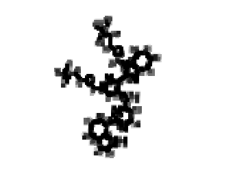 C[Si](C)(C)CCOCn1cc(Nc2ccnc(-c3cccc4cc[nH]c34)n2)c(-c2nc3ccccc3n2COCC[Si](C)(C)C)n1